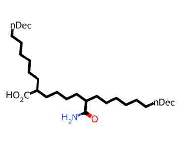 CCCCCCCCCCCCCCCCC(CCCCC(CCCCCCCCCCCCCCCC)C(=O)O)C(N)=O